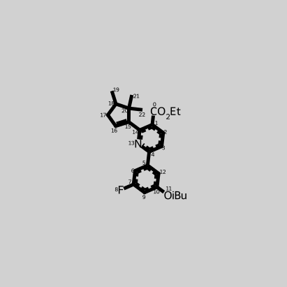 CCOC(=O)c1ccc(-c2cc(F)cc(OCC(C)C)c2)nc1C1=CCC(C)C1(C)C